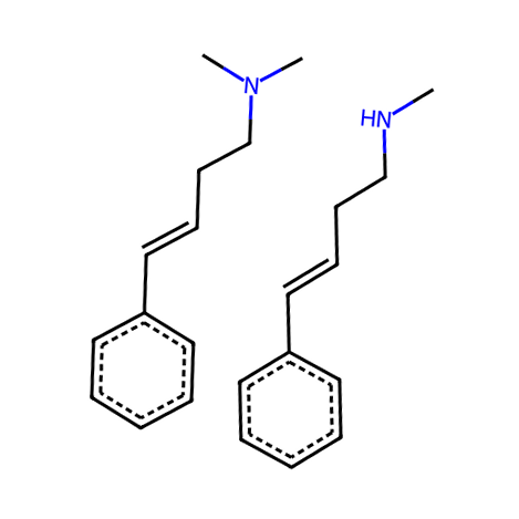 CN(C)CCC=Cc1ccccc1.CNCCC=Cc1ccccc1